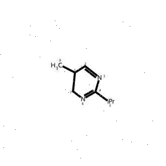 CC1C=NC(C(C)C)=NC1